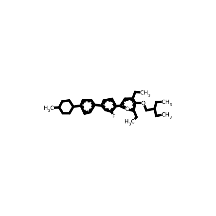 CCc1cc(-c2ccc(-c3ccc(C4CCC(C)CC4)cc3)cc2F)cc(CC)c1OCC(CC)CC